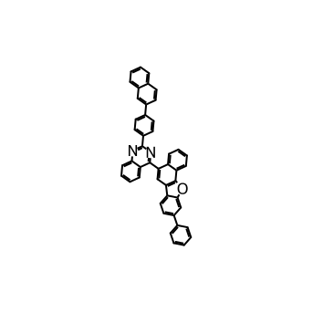 c1ccc(-c2ccc3c(c2)oc2c4ccccc4c(-c4nc(-c5ccc(-c6ccc7ccccc7c6)cc5)nc5ccccc45)cc32)cc1